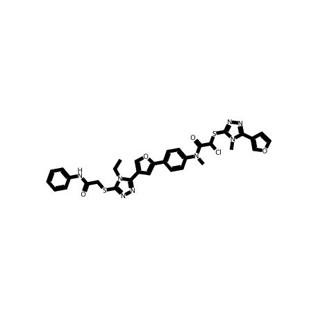 CCn1c(SCC(=O)Nc2ccccc2)nnc1-c1coc(-c2ccc(N(C)C(=O)C(Cl)Sc3nnc(-c4ccoc4)n3C)cc2)c1